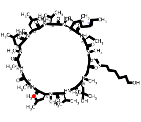 C/C=C/C[C@@H](C)[C@@H](O)[C@H]1C(=O)N[C@@H](CC)C(=O)N(C)[C@H](CSCCCCCCO)C(=O)CN(C)[C@@H](CC(C)(C)O)C(=O)N[C@@H](C(C)C)C(=O)N(C)[C@@H](CC(C)C)C(=O)N[C@@H](C)C(=O)N[C@H](C)C(=O)N(C)[C@@H](CC(C)C)C(=O)N(C)[C@@H](CC(C)C)C(=O)N(C)[C@@H](C(C)C)C(=O)N1C